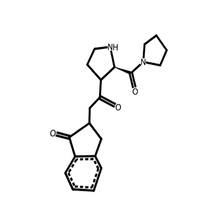 O=C1c2ccccc2CC1CC(=O)C1CCN[C@H]1C(=O)N1CCCC1